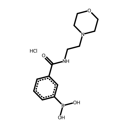 Cl.O=C(NCCN1CCOCC1)c1cccc(B(O)O)c1